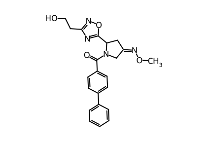 CON=C1CC(c2nc(CCO)no2)N(C(=O)c2ccc(-c3ccccc3)cc2)C1